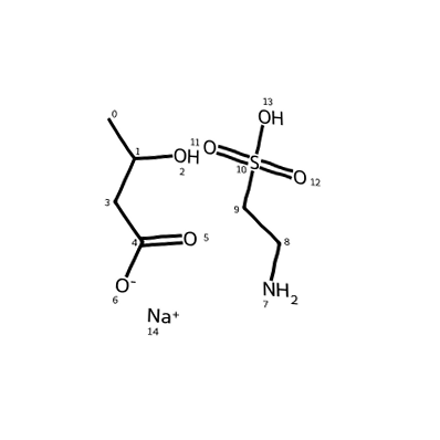 CC(O)CC(=O)[O-].NCCS(=O)(=O)O.[Na+]